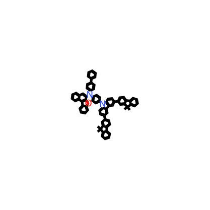 CC1(C)c2ccccc2-c2ccc(-c3ccc4c(c3)c3cc(-c5ccc6c(c5)C(C)(C)c5ccccc5-6)ccc3n4-c3ccc(N(c4ccc(-c5ccccc5)cc4)c4cc5ccccc5c5c4oc4ccccc45)cc3)cc21